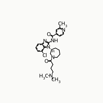 Cc1cc(C(=O)Nc2nc3cccc(Cl)c3n2[C@@H]2CCCCN(C(=O)CCCN(C)C)C2)ccn1